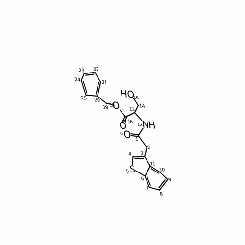 O=C(Cc1csc2ccccc12)NC(CO)C(=O)OCc1ccccc1